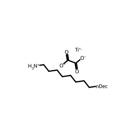 CCCCCCCCCCCCCCCCCC[NH3+].O=C([O-])C(=O)[O-].[Ti+]